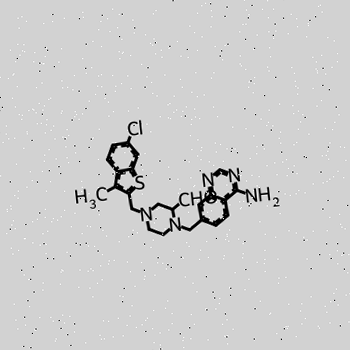 Cc1c(CN2CCN(Cc3ccc4c(N)ncnc4c3)C(C=O)C2)sc2cc(Cl)ccc12